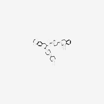 O=C(OC(Cc1ccc2c(c1)OCCO2)C(=O)N1CCN(C2CCNCC2)CC1)N1CCC(N2CCc3ccccc3NC2=O)CC1